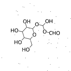 O=COC(O)OC1OC(CO)C(O)C(O)C1O